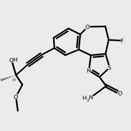 COC[C@@](C)(O)C#Cc1ccc2c(c1)-c1nc(C(N)=O)sc1C(F)CO2